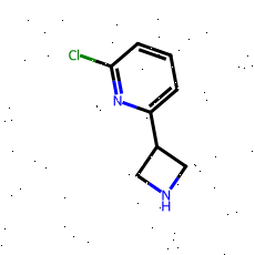 Clc1cccc(C2CNC2)n1